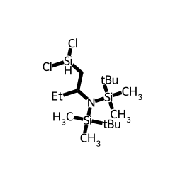 CCC(C[SiH](Cl)Cl)N([Si](C)(C)C(C)(C)C)[Si](C)(C)C(C)(C)C